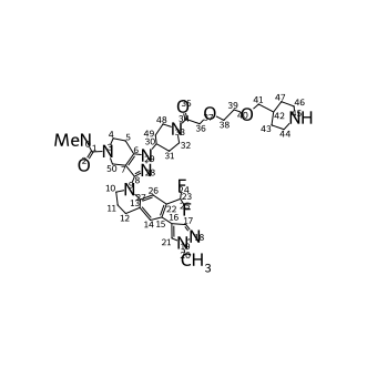 CNC(=O)N1CCc2c(c(N3CCCc4cc(-c5cnn(C)c5)c(C(F)F)cc43)nn2C2CCN(C(=O)COCCOCC3CCNCC3)CC2)C1